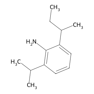 CCC(C)c1cccc(C(C)C)c1N